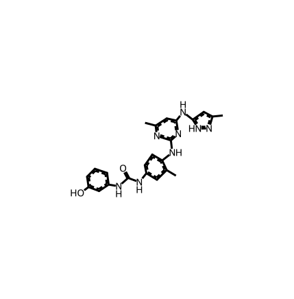 Cc1cc(Nc2cc(C)nc(Nc3ccc(NC(=O)Nc4cccc(O)c4)cc3C)n2)[nH]n1